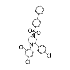 O=S(=O)(c1ccc(-c2ccccc2)cc1)N1CCN(c2ccc(Cl)cc2Cl)C(c2ccc(Cl)cc2)C1